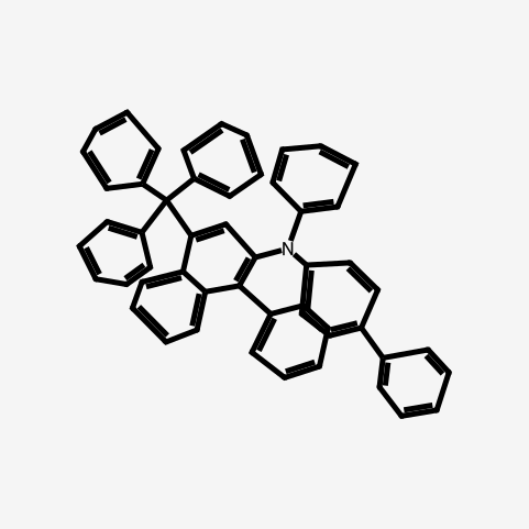 c1ccc(-c2ccc(N(c3ccccc3)c3cc(C(c4ccccc4)(c4ccccc4)c4ccccc4)c4ccccc4c3-c3ccccc3)cc2)cc1